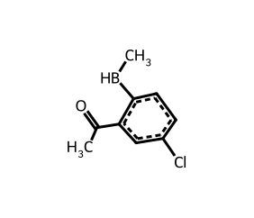 CBc1ccc(Cl)cc1C(C)=O